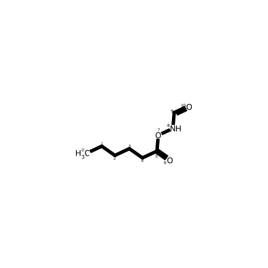 CCCCCC(=O)ONC=O